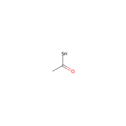 C[C](=O)[Sn]